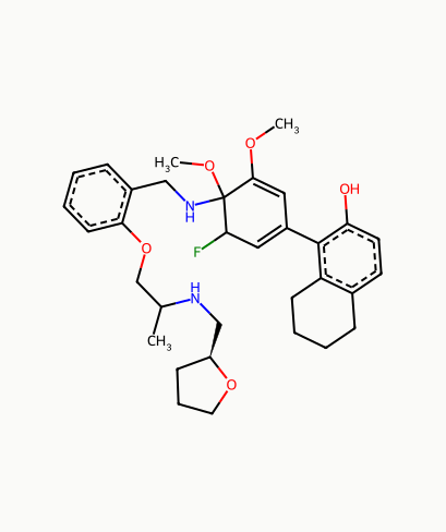 COC1=CC(c2c(O)ccc3c2CCCC3)=CC(F)C1(NCc1ccccc1OCC(C)NC[C@@H]1CCCO1)OC